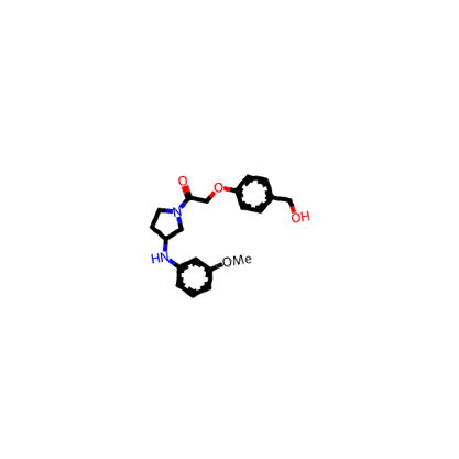 COc1cccc(NC2CCN(C(=O)COc3ccc(CO)cc3)C2)c1